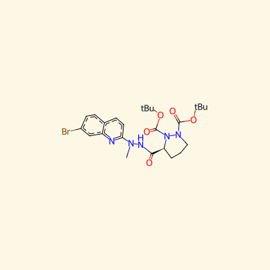 CN(NC(=O)[C@@H]1CCCN(C(=O)OC(C)(C)C)N1C(=O)OC(C)(C)C)c1ccc2ccc(Br)cc2n1